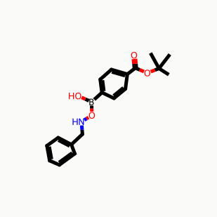 CC(C)(C)OC(=O)c1ccc(B(O)ONCc2ccccc2)cc1